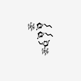 CCCC[n+]1ccn(C)c1.CCCC[n+]1ccn(C)c1.CCN1C=CN(C)C1.F[P-](F)(F)(F)(F)F.F[P-](F)(F)(F)(F)F